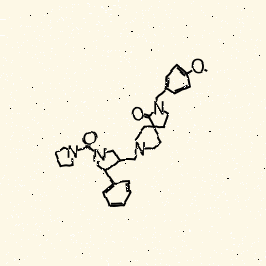 COc1ccc(CN2CCC3(CCN(CC4CN(C(=O)N5CCCC5)CC4c4ccccc4)CC3)C2=O)cc1